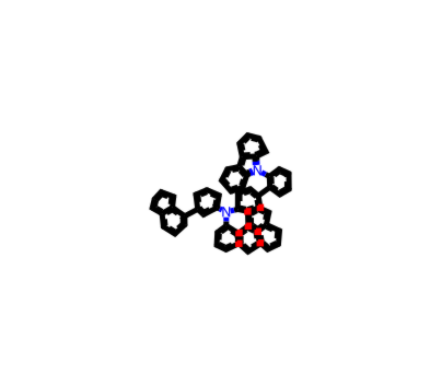 c1ccc(-c2cc(-c3ccccc3-n3c4ccccc4c4ccccc43)ccc2N(c2cccc(-c3cccc4ccccc34)c2)c2ccccc2-c2cccc3ccccc23)cc1